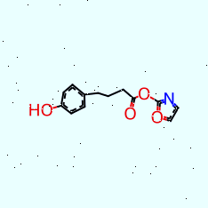 O=C(CCCc1ccc(O)cc1)Oc1ncco1